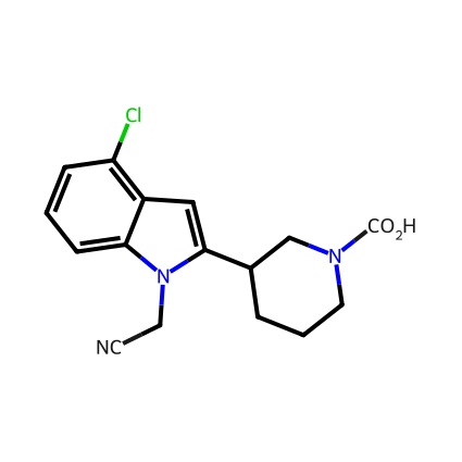 N#CCn1c(C2CCCN(C(=O)O)C2)cc2c(Cl)cccc21